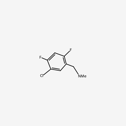 CNCc1cc(Cl)c(F)cc1F